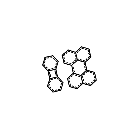 c1cc2cccc3c4cccc5cccc(c(c1)c23)c54.c1ccc2c(c1)=c1ccccc1=2